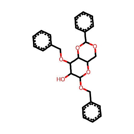 OC1C(OCc2ccccc2)OC2COC(c3ccccc3)OC2C1OCc1ccccc1